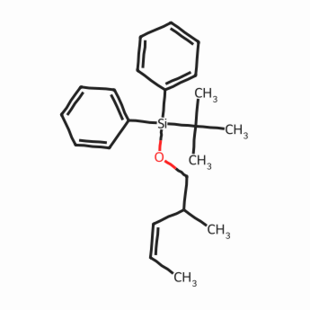 C/C=C\C(C)CO[Si](c1ccccc1)(c1ccccc1)C(C)(C)C